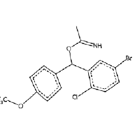 CC(=N)OC(c1ccc(OC(F)(F)F)cc1)c1cc(Br)ccc1Cl